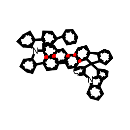 c1ccc(-c2ccc(-c3ccccc3N(c3ccc4cc(-c5ccc6c(c5)C5(c7ccccc7-6)c6ccccc6-n6c7ccccc7c7cccc5c76)ccc4c3)c3ccccc3-c3ccc(-c4ccccc4)cc3)cc2)cc1